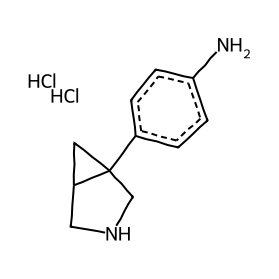 Cl.Cl.Nc1ccc(C23CNCC2C3)cc1